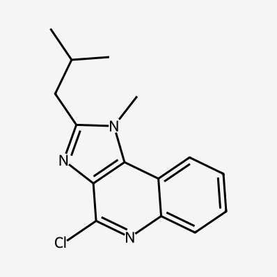 CC(C)Cc1nc2c(Cl)nc3ccccc3c2n1C